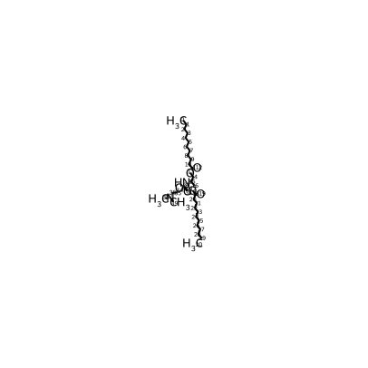 CCCCCCCCCCCC(=O)OCC(COC(=O)CCCCCCCCCCC)NC(=O)OCCN(C)C